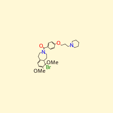 COC1=CC=C2CCN(C(=O)c3ccc(OCCCN4CCCCC4)cc3)CCC2C1(Br)OC